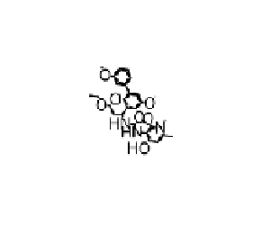 CCOC(=O)CC(NC(=O)Nc1c(O)cc(C)n(C)c1=O)c1cc(OC)cc(-c2cccc(OC)c2)c1